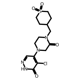 O=C1CN(c2cn[nH]c(=O)c2Cl)CCN1CC1CCS(=O)(=O)CC1